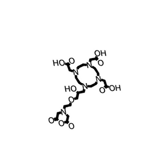 O=C(O)CN1CCN(CC(=O)O)CCN(CC(O)COCCN2CC(=O)OC(=O)C2)CCN(CC(=O)O)CC1